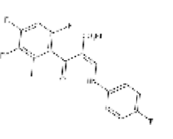 CCOC(=O)C(=CNc1ccc(F)cc1)C(=O)c1c(F)cc(F)c(F)c1C